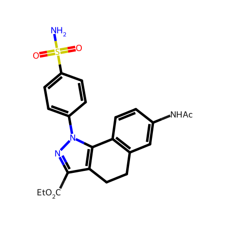 CCOC(=O)c1nn(-c2ccc(S(N)(=O)=O)cc2)c2c1CCc1cc(NC(C)=O)ccc1-2